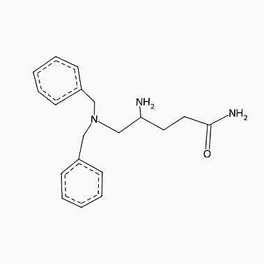 NC(=O)CCC(N)CN(Cc1ccccc1)Cc1ccccc1